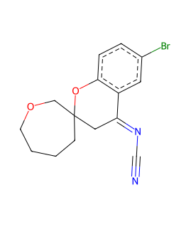 N#C/N=C1\CC2(CCCCOC2)Oc2ccc(Br)cc21